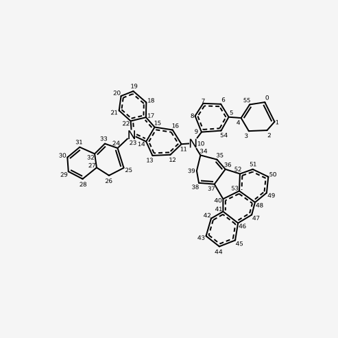 C1=CCCC(c2cccc(N(c3ccc4c(c3)c3ccccc3n4C3=CCC4C=CC=CC4=C3)C3C=C4C(=CC3)c3c5ccccc5cc5cccc4c35)c2)=C1